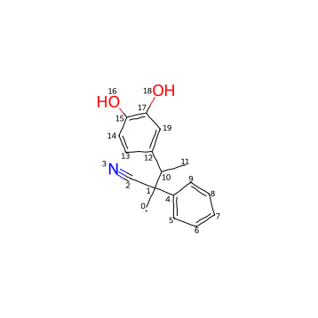 [CH2]C(C#N)(c1ccccc1)C(C)c1ccc(O)c(O)c1